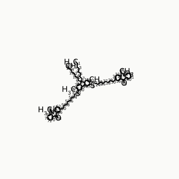 CCCCCCCCC1(CCCCCCCC)c2cc(C)c(SCCCCCCCCc3ccc4c(c3)c(=O)c3ccccc3n4C)cc2-c2cc(SCCCCCCCCc3ccc4c(c3)c(=O)c3ccccc3n4C)c(C)cc21